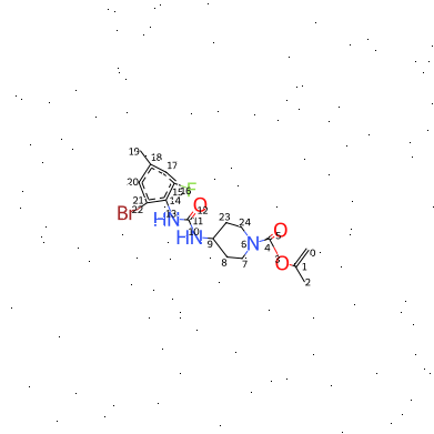 C=C(C)OC(=O)N1CCC(NC(=O)Nc2c(F)cc(C)cc2Br)CC1